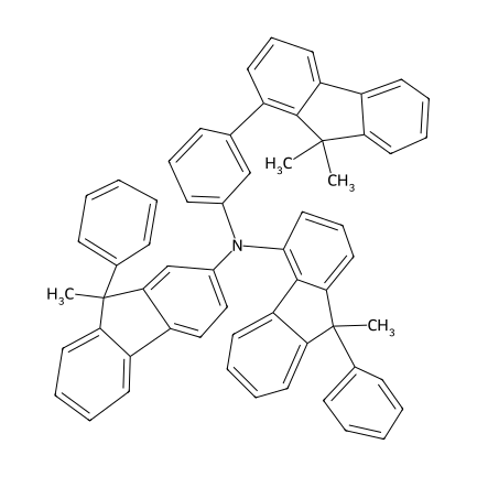 CC1(C)c2ccccc2-c2cccc(-c3cccc(N(c4ccc5c(c4)C(C)(c4ccccc4)c4ccccc4-5)c4cccc5c4-c4ccccc4C5(C)c4ccccc4)c3)c21